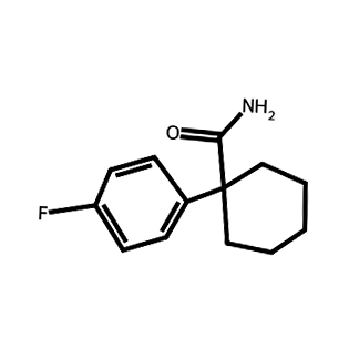 NC(=O)C1(c2ccc(F)cc2)CCCCC1